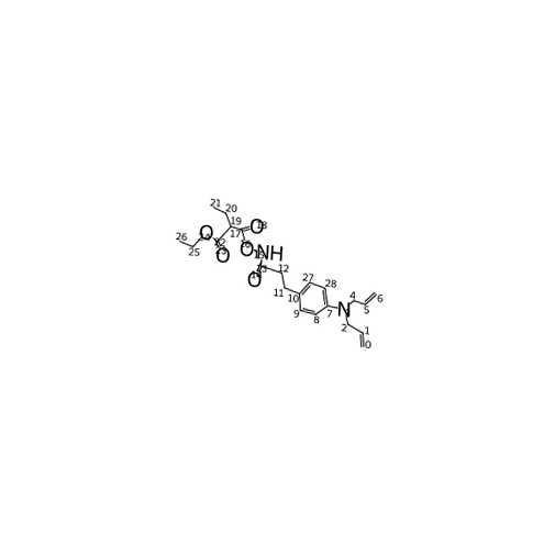 C=CCN(CC=C)c1ccc(CCC(=O)NOC(=O)C(CC)C(=O)OCC)cc1